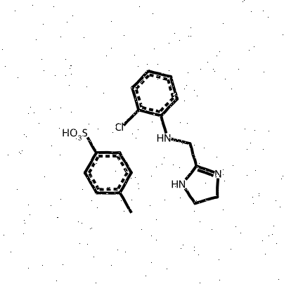 Cc1ccc(S(=O)(=O)O)cc1.Clc1ccccc1NCC1=NCCN1